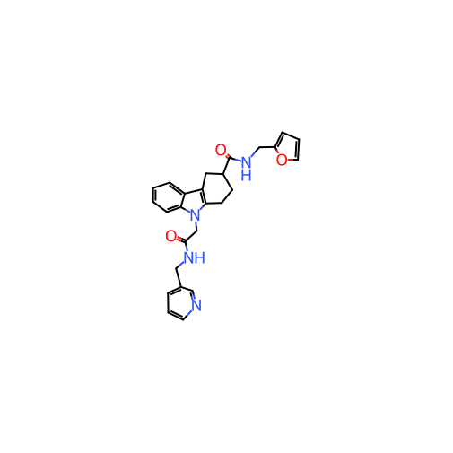 O=C(Cn1c2c(c3ccccc31)CC(C(=O)NCc1ccco1)CC2)NCc1cccnc1